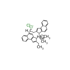 CCC1=Cc2c(ccc3ccccc23)[CH]1[Hf+2]([CH]1C(CC)=Cc2c1ccc1ccccc21)=[Ge]([CH3])[CH3].[Cl-].[Cl-]